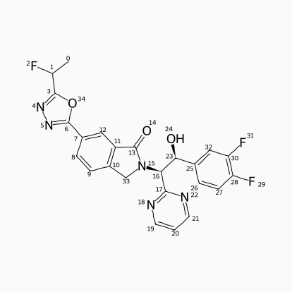 CC(F)c1nnc(-c2ccc3c(c2)C(=O)N([C@H](c2ncccn2)[C@@H](O)c2ccc(F)c(F)c2)C3)o1